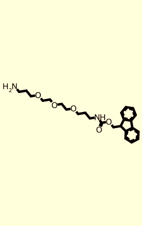 NCCCOCCOCCOCCCNC(=O)OCC1c2ccccc2-c2ccccc21